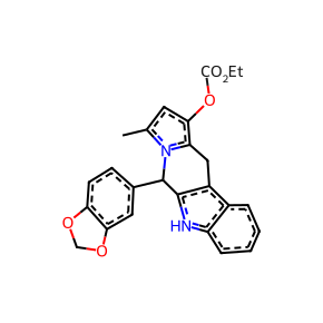 CCOC(=O)Oc1cc(C)n2c1Cc1c([nH]c3ccccc13)C2c1ccc2c(c1)OCO2